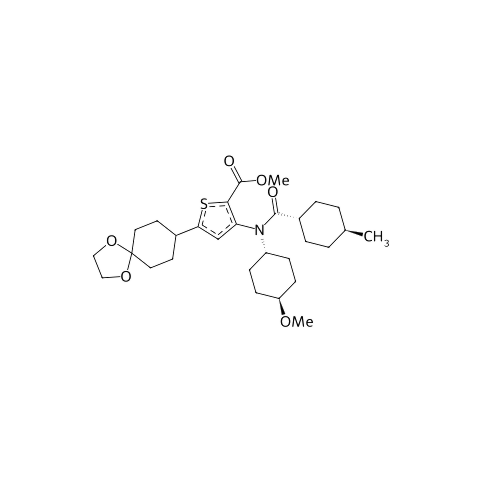 COC(=O)c1sc(C2CCC3(CC2)OCCO3)cc1N(C(=O)[C@H]1CC[C@H](C)CC1)[C@H]1CC[C@H](OC)CC1